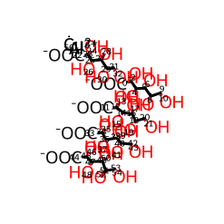 O=C([O-])C(O)C(O)C(O)C(O)CO.O=C([O-])C(O)C(O)C(O)C(O)CO.O=C([O-])C(O)C(O)C(O)C(O)CO.O=C([O-])C(O)C(O)C(O)C(O)CO.O=C([O-])C(O)C(O)C(O)C(O)CO.[Al+3].[Cu+2]